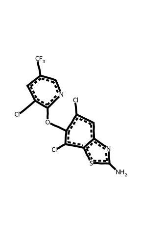 Nc1nc2cc(Cl)c(Oc3ncc(C(F)(F)F)cc3Cl)c(Cl)c2s1